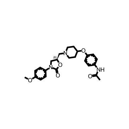 COc1ccc(N2C[C@@H](CN3CCC(Oc4ccc(NC(C)=O)cc4)CC3)OC2=O)cc1